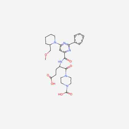 COCC1CCCCN1c1cc(C(=O)NC(CCC(=O)O)C(=O)N2CCN(C(=O)O)CC2)nc(-c2ccccc2)n1